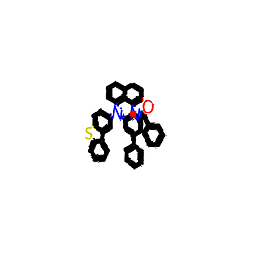 c1ccc(-c2cccc(N(c3ccc4sc5ccccc5c4c3)c3cccc4ccc5oc(-c6ccccc6)nc5c34)c2)cc1